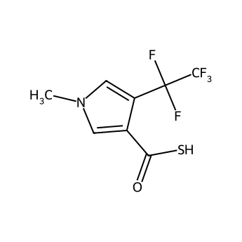 Cn1cc(C(=O)S)c(C(F)(F)C(F)(F)F)c1